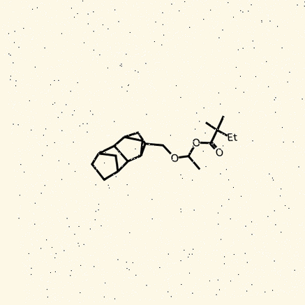 CCC(C)(C)C(=O)OC(C)OCC1CC2CC1C1C3CCC(C3)C21